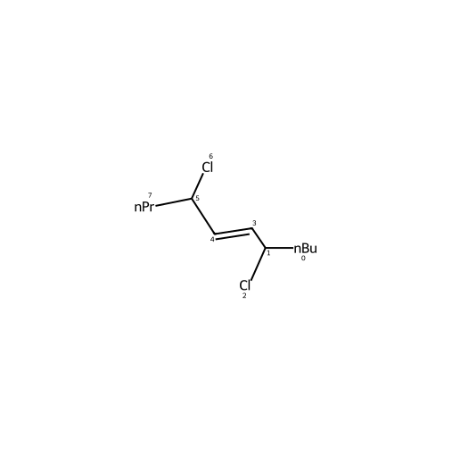 CCCCC(Cl)C=CC(Cl)CCC